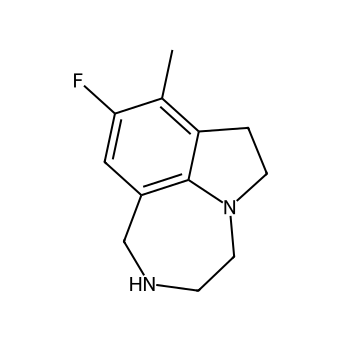 Cc1c(F)cc2c3c1CCN3CCNC2